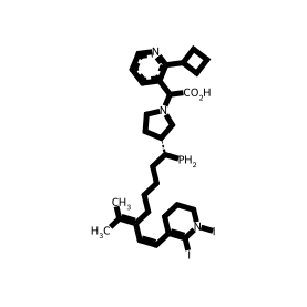 CC(C)=C(/C=C\C1=C(I)N(I)CCC1)CCCCC(P)[C@@H]1CCN(C(C(=O)O)c2cccnc2C2CCC2)C1